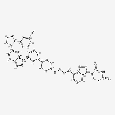 O=C1CCC(n2cnc3c(OCCCN4CCN(c5cccc(-c6cnc7ccc(N8CCC[C@@H]8c8cccc(F)c8)nn67)n5)CC4)cccc32)C(=O)N1